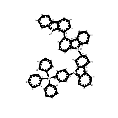 c1ccc([Si](c2ccccc2)(c2ccccc2)c2ccc(-n3c4ccccc4c4ccc(-n5c6ccccc6c6c(-c7cccc8c7oc7ccccc78)cccc65)cc43)cc2)cc1